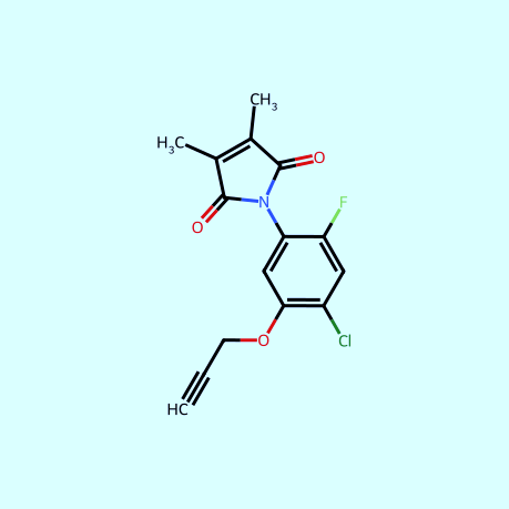 C#CCOc1cc(N2C(=O)C(C)=C(C)C2=O)c(F)cc1Cl